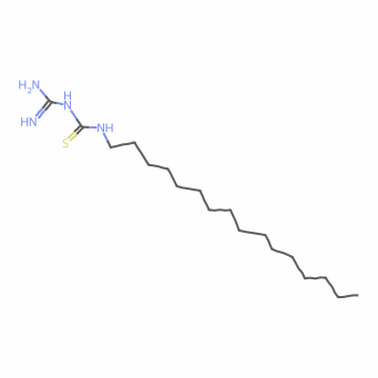 CCCCCCCCCCCCCCCCNC(=S)NC(=N)N